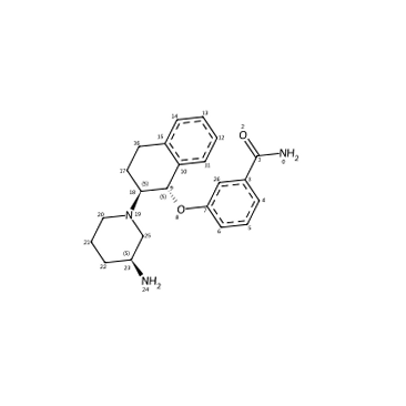 NC(=O)c1cccc(O[C@H]2c3ccccc3CC[C@@H]2N2CCC[C@H](N)C2)c1